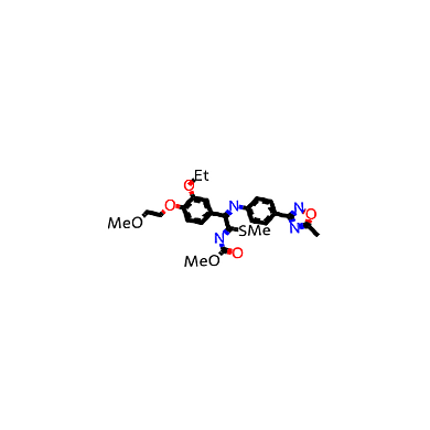 CCOc1cc(C(=Nc2ccc(-c3noc(C)n3)cc2)C(=NC(=O)OC)SC)ccc1OCCOC